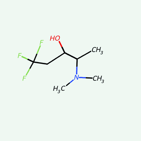 CC(C(O)CC(F)(F)F)N(C)C